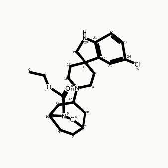 CCOC(=O)N1CC2CCC1CC(N1CCC3(CC1)CNc1ccc(Cl)cc13)C2